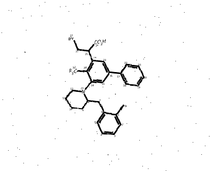 Cc1ccccc1CC1CCCCN1c1cc(-c2ccccc2)cc(C(CC(C)C)C(=O)O)c1C(F)(F)F